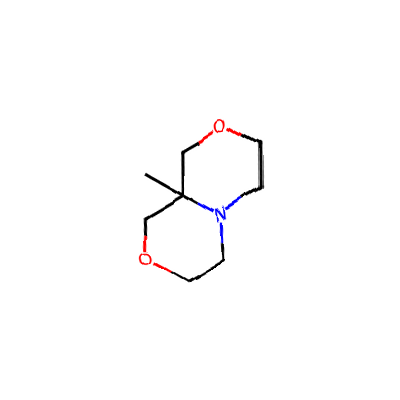 CC12COCCN1CCOC2